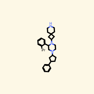 CC(C)c1ccccc1C1CN(C2CCC(c3ccccc3)C2)CCN1C1CC2(CCNCC2)C1